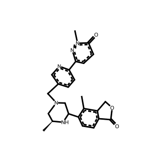 Cc1c(C2CN(Cc3ccc(-c4ccc(=O)n(C)n4)nc3)C[C@H](C)N2)ccc2c1COC2=O